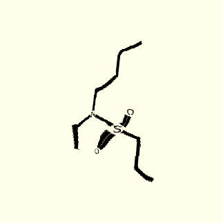 [CH2]CN(CCCC)S(=O)(=O)CCC